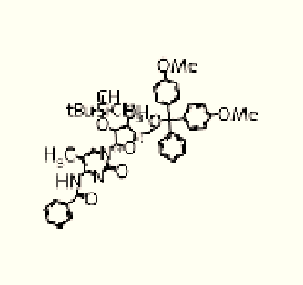 COc1ccc(C(OC[C@H]2O[C@@H](n3cc(C)c(NC(=O)c4ccccc4)nc3=O)C(O[Si](C)(C)C(C)(C)C)C2O)(c2ccccc2)c2ccc(OC)cc2)cc1